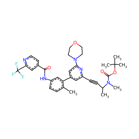 Cc1ccc(NC(=O)c2ccnc(C(F)(F)F)c2)cc1-c1cc(C#CC(C)N(C)C(=O)OC(C)(C)C)nc(N2CCOCC2)c1